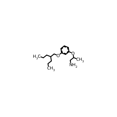 CCCC(CCC)COc1cccc(OC(C)CN)c1